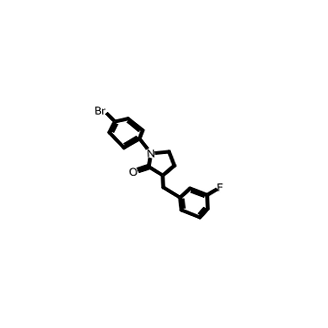 O=C1C(Cc2cccc(F)c2)CCN1c1ccc(Br)cc1